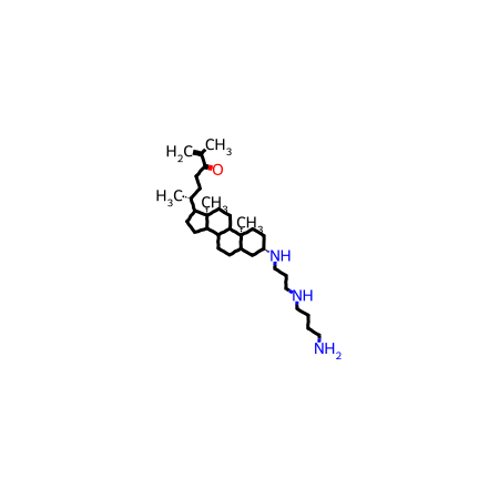 C=C(C)C(=O)CC[C@@H](C)C1CCC2C3CCC4C[C@@H](NCCCNCCCCN)CC[C@]4(C)C3CC[C@@]21C